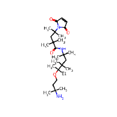 CCC(C)(OCCC(C)(C)N)C(C)(C)CC(C)(C)NC(=O)C(C)(C)CC(C)(C)N1C(=O)C=CC1=O